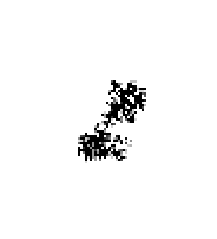 CC(=O)N[C@H]1[C@H]2OC[C@](COCCCCC(=O)Oc3c(F)c(F)c(F)c(F)c3F)(O2)[C@H](OC(C)=O)[C@@H]1OC(C)=O